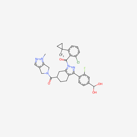 Cn1ncc2c1CN(C(=O)C1CCc3c(-c4ccc(C(O)O)cc4F)nn(C(=O)c4c(Cl)cccc4C4(C(F)(F)F)CC4)c3C1)C2